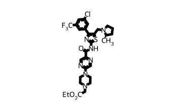 CCOC(=O)CN1CCN(c2cnc(C(=O)Nc3nc(-c4cc(Cl)cc(C(F)(F)F)c4)c(CN4CCC[C@H]4C)s3)cn2)CC1